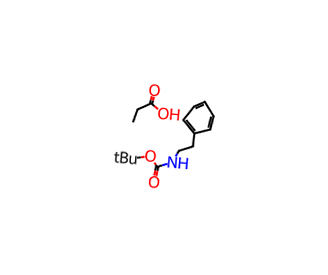 CC(C)(C)OC(=O)NCCc1ccccc1.CCC(=O)O